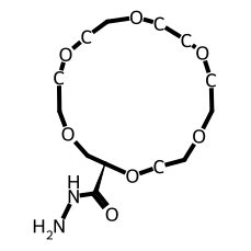 NNC(=O)[C@H]1COCCOCCOCCOCCOCCO1